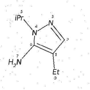 CCc1cnn(C(C)C)c1N